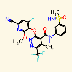 COc1nc(C#N)cc(F)c1Oc1nnc(C(F)(F)F)c(C)c1C(=O)Nc1cccc(S(C)(=N)=O)c1